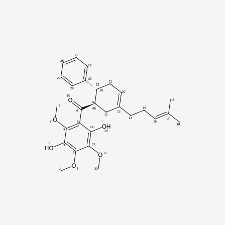 COc1c(O)c(OC)c(C(=O)[C@@H]2CC(CCC=C(C)C)=CC[C@H]2c2ccccc2)c(O)c1OC